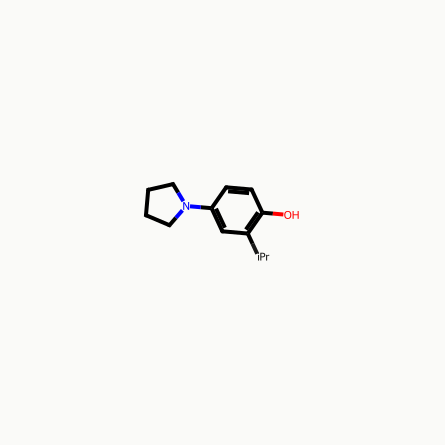 CC(C)c1cc(N2CCCC2)ccc1O